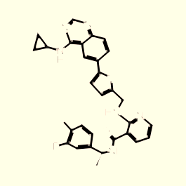 Cc1ccc([C@H](C)NC(=O)c2cccnc2NCc2ccc(-c3ccc4ncnc(NC5CC5)c4c3)s2)cc1F